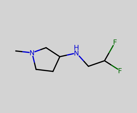 CN1CCC(NCC(F)F)C1